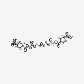 O=C(COC(=O)c1ccc([N+](=O)[O-])cc1)OCCOCCOC(=O)COC(=O)c1ccc([N+](=O)[O-])cc1